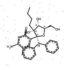 CCCC[C@@]1(O)[C@H](O)[C@@H](CO)O[C@]1(n1cc(C)c(N)nc1=O)[SiH](c1ccccc1)c1ccccc1